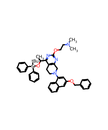 C[C](O[Si](c1ccccc1)(c1ccccc1)C(C)(C)C)c1nc(OCCN(C)C)nc2c1CCN(c1cc(OCc3ccccc3)cc3ccccc13)C2